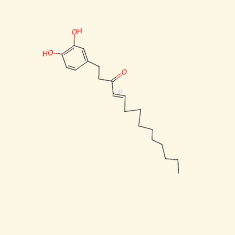 CCCCCCCCC/C=C/C(=O)CCc1ccc(O)c(O)c1